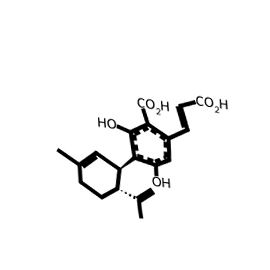 C=C(C)[C@@H]1CCC(C)=C[C@H]1c1c(O)cc(/C=C/C(=O)O)c(C(=O)O)c1O